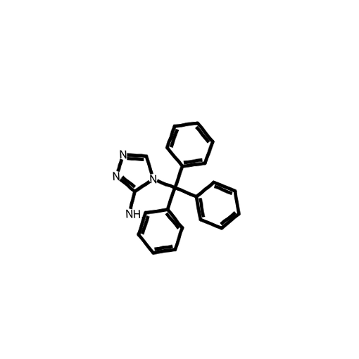 Nc1nncn1C(c1ccccc1)(c1ccccc1)c1ccccc1